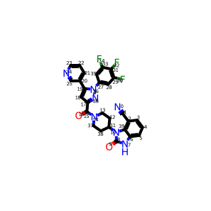 N#Cc1cccc2[nH]c(=O)n(C3CCN(C(=O)c4cc(-c5cccnc5)n(-c5cc(F)c(F)c(F)c5)n4)CC3)c12